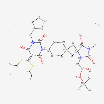 CCSC(SCC)=C1C(=O)N(CC2CCCC2)C(=O)N(C2CCC3(CC2)CC2(C3)C(=O)N(C)C(=O)N2CC(=O)OC(C)(C)C)C1=O